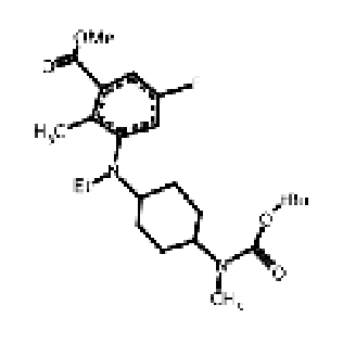 CCN(c1cc(F)cc(C(=O)OC)c1C)C1CCC(N(C)C(=O)OC(C)(C)C)CC1